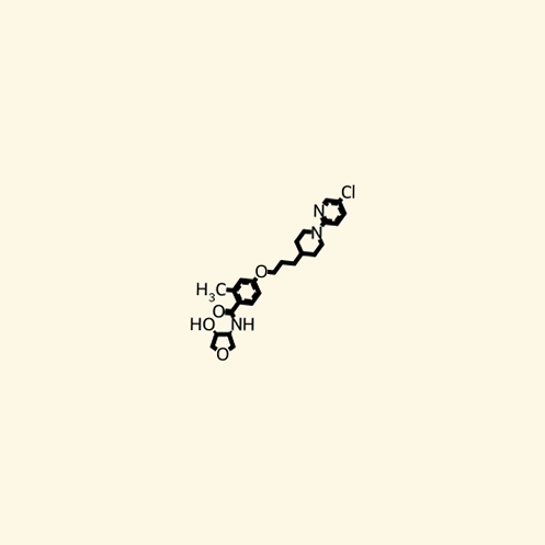 Cc1cc(OCCCC2CCN(c3ccc(Cl)cn3)CC2)ccc1C(=O)N[C@@H]1COC[C@H]1O